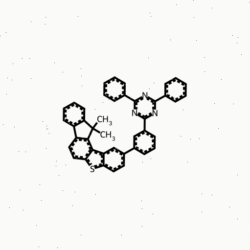 CC1(C)c2ccccc2-c2ccc3sc4ccc(-c5cccc(-c6nc(-c7ccccc7)nc(-c7ccccc7)n6)c5)cc4c3c21